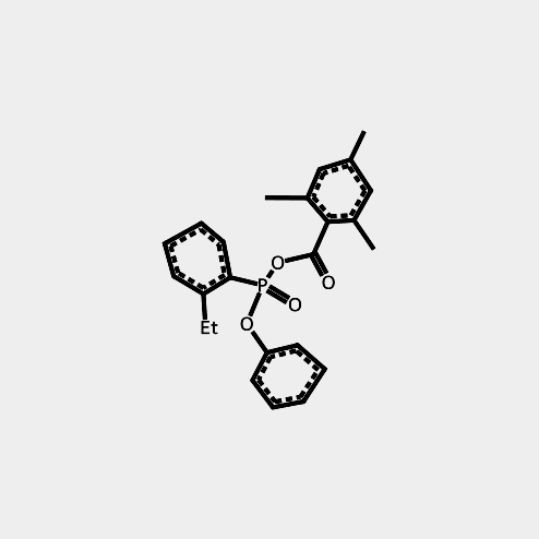 CCc1ccccc1P(=O)(OC(=O)c1c(C)cc(C)cc1C)Oc1ccccc1